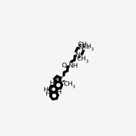 CC[C@]12CC[C@H]3[C@@H](CC[C@@H]4CCCC[C@@]43C)[C@@H]1CC[C@@H]2CCCC(=O)NCCC[N+]1(C)CC[N+](C)(C)CC1